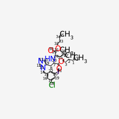 CCCCOC(=O)C(Cc1cncn1Cc1cc(Cl)cc(I)c1)NC(CC(C)C)C(=O)OCCCC